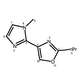 CCCc1nc(-c2nccn2C)co1